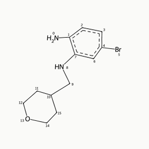 Nc1ccc(Br)cc1NCC1CCOCC1